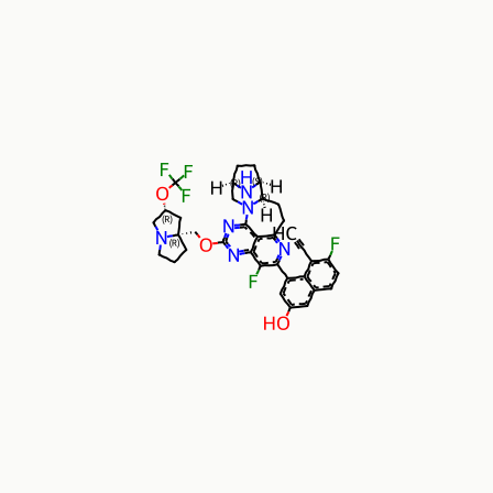 C#Cc1c(F)ccc2cc(O)cc(-c3nc4c5c(nc(OC[C@]67CCCN6C[C@H](OC(F)(F)F)C7)nc5c3F)N3C[C@H]5CC[C@H](N5)[C@H]3CC4)c12